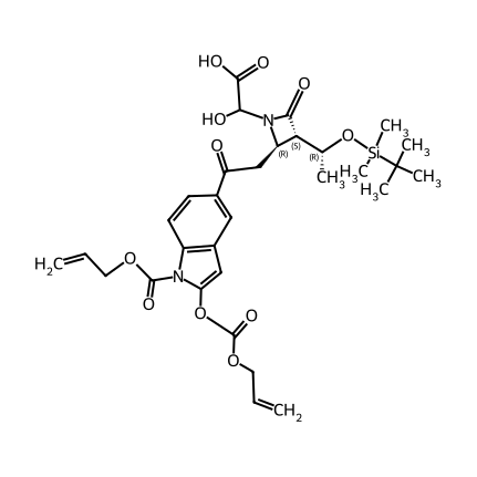 C=CCOC(=O)Oc1cc2cc(C(=O)C[C@@H]3[C@@H]([C@@H](C)O[Si](C)(C)C(C)(C)C)C(=O)N3C(O)C(=O)O)ccc2n1C(=O)OCC=C